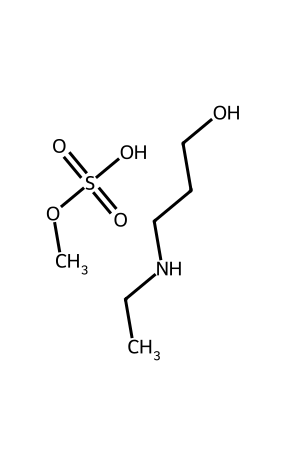 CCNCCCO.COS(=O)(=O)O